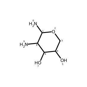 NC1OCC(O)C(O)C1N